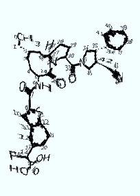 CC[C@H]1CC[C@H](NC(=O)c2cc3cc(C(F)P(=O)(O)O)ccc3s2)C(=O)N2[C@H](CC[C@H]2C(=O)N2C[C@H](c3ccccc3)[C@@H](C#N)C2)C1